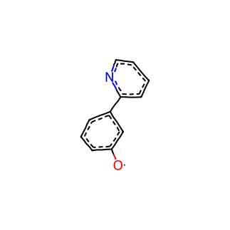 [O]c1cccc(-c2ccccn2)c1